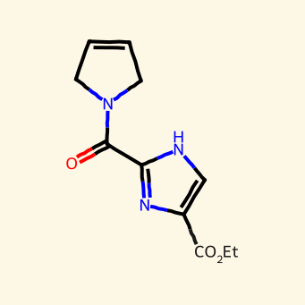 CCOC(=O)c1c[nH]c(C(=O)N2CC=CC2)n1